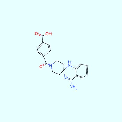 NC1=NC2(CCN(C(=O)c3ccc(C(=O)O)cc3)CC2)Nc2ccccc21